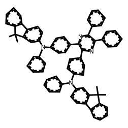 CC1(C)c2ccccc2-c2ccc(N(c3ccccc3)c3ccc(-c4nc(-c5ccccc5)c(-c5ccccc5)nc4-c4ccc(N(c5ccccc5)c5ccc6c(c5)C(C)(C)c5ccccc5-6)cc4)cc3)cc21